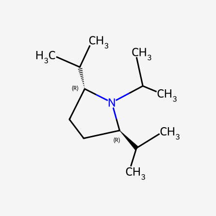 CC(C)[C@H]1CC[C@H](C(C)C)N1C(C)C